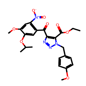 CCOC(=O)c1c(C(=O)c2cc(OC(C)C)c(OC)cc2[N+](=O)[O-])nnn1Cc1ccc(OC)cc1